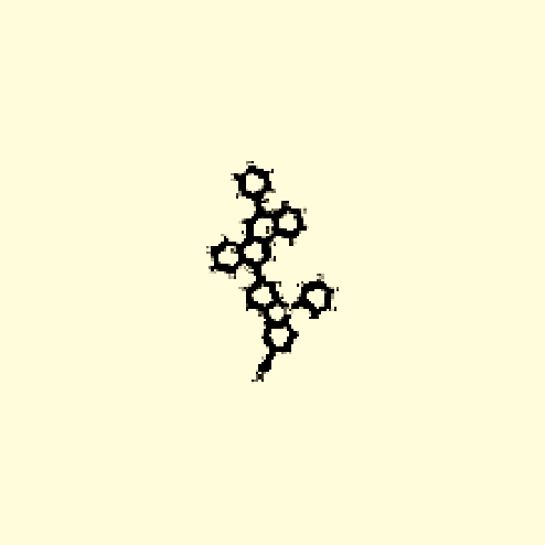 N#Cc1ccc2c(c1)c1ccc(-c3cc4c5ccccc5c(-c5ccccc5)cc4c4ccccc34)cc1n2-c1ccccc1